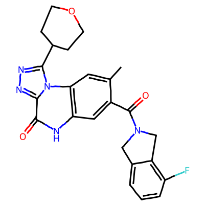 Cc1cc2c(cc1C(=O)N1Cc3cccc(F)c3C1)[nH]c(=O)c1nnc(C3CCOCC3)n12